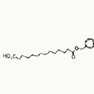 O=C(O)CCCCCCCCCCCCC(=O)OCc1ccccc1